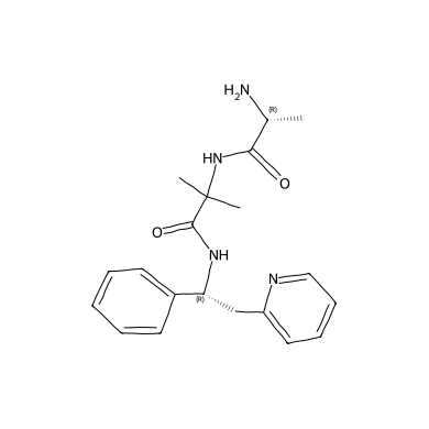 C[C@@H](N)C(=O)NC(C)(C)C(=O)N[C@H](Cc1ccccn1)c1ccccc1